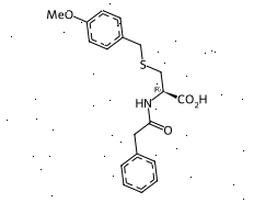 COc1ccc(CSC[C@H](NC(=O)Cc2ccccc2)C(=O)O)cc1